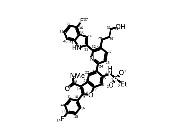 CCS(=O)(=O)Nc1cc2oc(-c3ccc(F)cc3)c(C(=O)NC)c2cc1-c1ccc(CCCO)c(-c2cc3c(F)cccc3[nH]2)n1